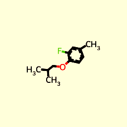 Cc1ccc(OCC(C)C)c(F)c1